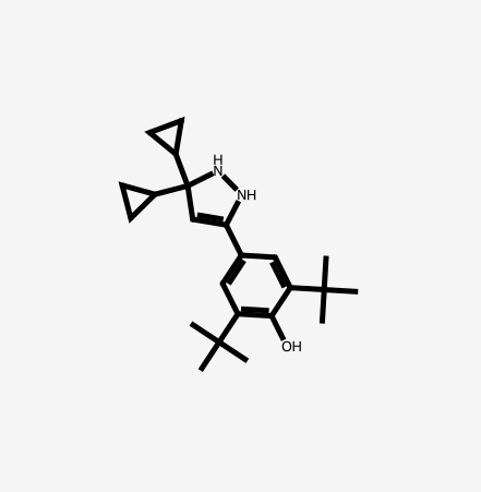 CC(C)(C)c1cc(C2=CC(C3CC3)(C3CC3)NN2)cc(C(C)(C)C)c1O